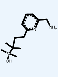 CC(C)(CCc1cccc(CN)n1)[Si](C)(C)O